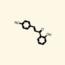 N#Cc1ccc(C=CC(=O)c2ccccc2O)cc1